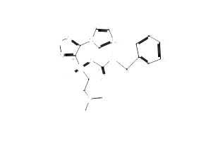 CCN(CC)CCS(=O)(=NC(=O)OCc1ccccc1)c1nsnc1-n1ccnc1